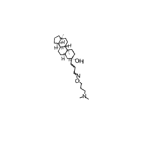 CN(C)CCCON=CC=C[C@]1(O)CC[C@@]2(C)[C@H](CC[C@H]3[C@@H]4CCC[C@@]4(C)CC[C@@H]32)C1